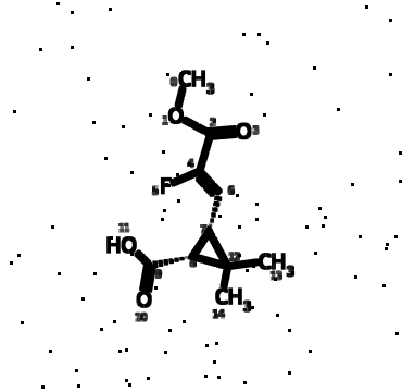 COC(=O)/C(F)=C/[C@H]1[C@@H](C(=O)O)C1(C)C